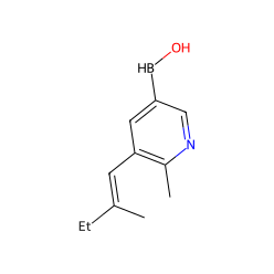 CC/C(C)=C/c1cc(BO)cnc1C